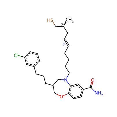 C[C@H](CS)C/C=C/CCCCN1CC(CCCc2cccc(Cl)c2)COc2ccc(C(N)=O)cc21